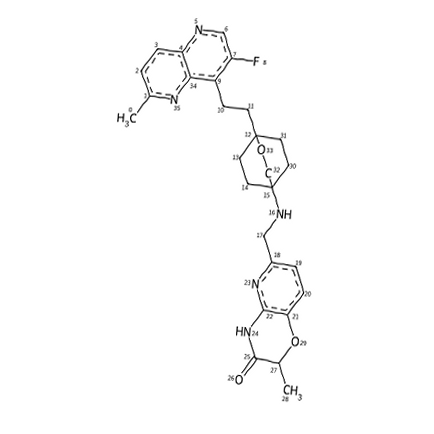 Cc1ccc2ncc(F)c(CCC34CCC(NCc5ccc6c(n5)NC(=O)C(C)O6)(CC3)CO4)c2n1